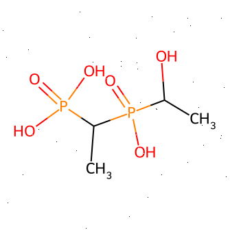 CC(O)P(=O)(O)C(C)P(=O)(O)O